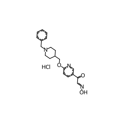 Cl.O=C(C=NO)c1ccc(OCC2CCN(Cc3ccccc3)CC2)nc1